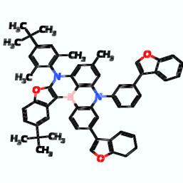 Cc1cc2c3c(c1)N(c1c(C)cc(C(C)(C)C)cc1C)c1oc4ccc(C(C)(C)C)cc4c1B3c1ccc(-c3coc4c3C=CCC4)cc1N2c1cccc(-c2coc3ccccc23)c1